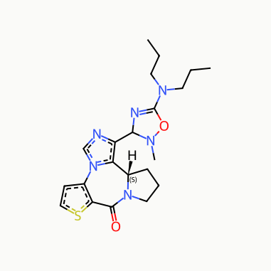 CCCN(CCC)C1=NC(c2ncn3c2[C@@H]2CCCN2C(=O)c2sccc2-3)N(C)O1